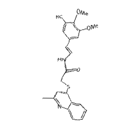 COc1cc(C=CNC(=O)CSc2cc(C)nc3ccccc23)cc(C#N)c1OC